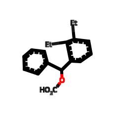 CCc1cccc(C(OC(=O)O)c2ccccc2)c1CC